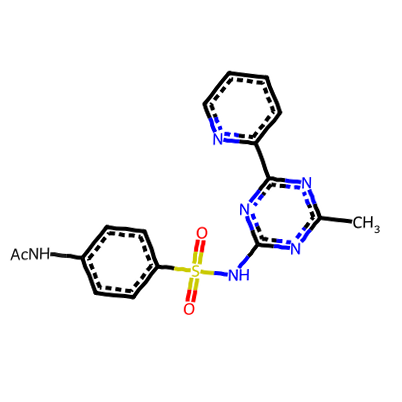 CC(=O)Nc1ccc(S(=O)(=O)Nc2nc(C)nc(-c3ccccn3)n2)cc1